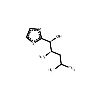 CC(C)C[C@@H](N)[C@H](O)c1nccs1